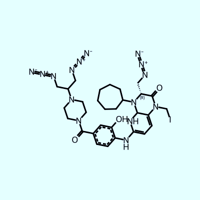 [N-]=[N+]=NCC(CN=[N+]=[N-])N1CCN(C(=O)c2ccc(NC3=CC=C4C(N3)N(C3CCCCCC3)[C@H](CN=[N+]=[N-])C(=O)N4CI)c(O)c2)CC1